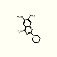 COc1cc2nc(N3CCCCC3)nc(N)c2cc1OC